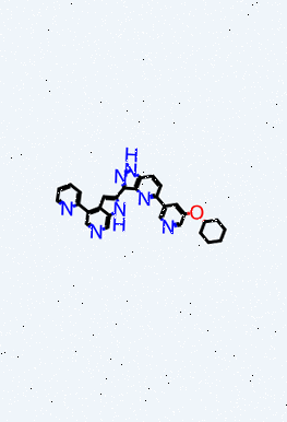 c1ccc(-c2cncc3[nH]c(-c4n[nH]c5ccc(-c6cncc(OC7CCCCC7)c6)nc45)cc23)nc1